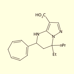 CCCC1(CC)CC(C2=CC=CCC=C2)Nc2c(C(=O)O)cnn21